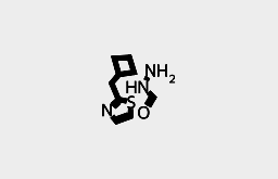 NNC=O.c1csc(CC2CCC2)n1